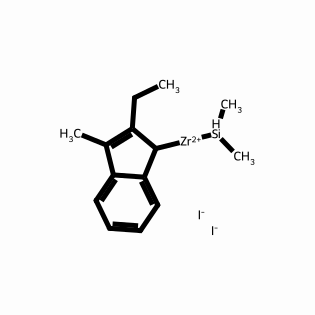 CCC1=C(C)c2ccccc2[CH]1[Zr+2][SiH](C)C.[I-].[I-]